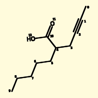 CC#CCC(CCCCC)C(=O)O